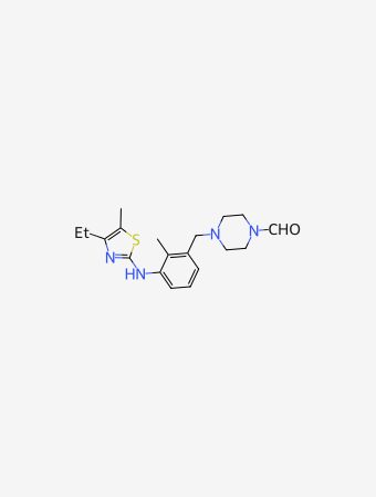 CCc1nc(Nc2cccc(CN3CCN(C=O)CC3)c2C)sc1C